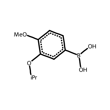 COc1ccc(B(O)O)cc1OC(C)C